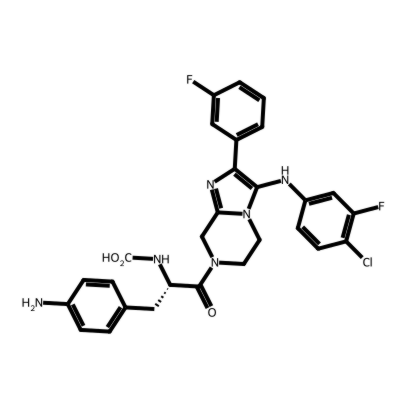 Nc1ccc(C[C@H](NC(=O)O)C(=O)N2CCn3c(nc(-c4cccc(F)c4)c3Nc3ccc(Cl)c(F)c3)C2)cc1